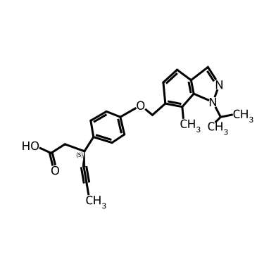 CC#C[C@@H](CC(=O)O)c1ccc(OCc2ccc3cnn(C(C)C)c3c2C)cc1